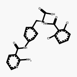 Nc1ncccc1C(=O)Nc1ccc(C[C@H](NC(=O)c2c(Cl)cccc2Cl)C(=O)O)cc1